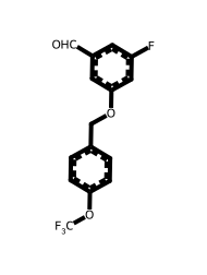 O=Cc1cc(F)cc(OCc2ccc(OC(F)(F)F)cc2)c1